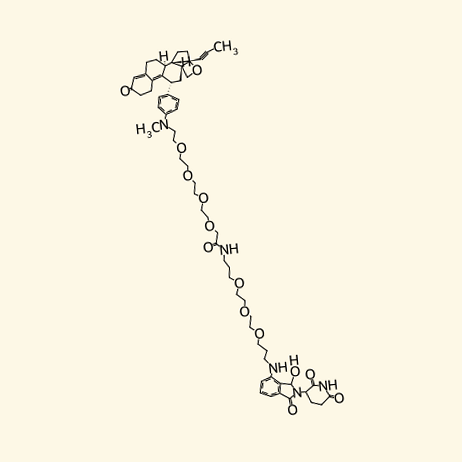 CC#C[C@]12CC[C@H]3[C@@H]4CCC5=CC(=O)CCC5=C4[C@@H](c4ccc(N(C)CCOCCOCCOCCOCC(=O)NCCCOCCOCCOCCCNc5cccc6c5C(O)N(C5CCC(=O)NC5=O)C6=O)cc4)C[C@@]31CO2